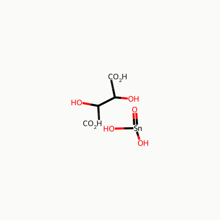 O=C(O)C(O)C(O)C(=O)O.[O]=[Sn]([OH])[OH]